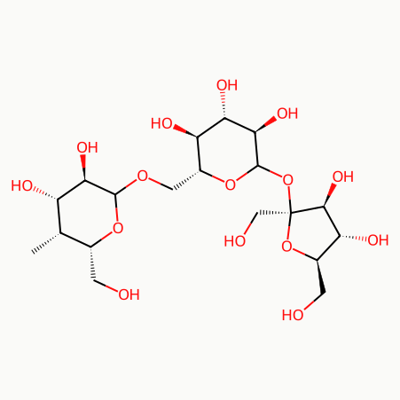 C[C@@H]1[C@H](O)[C@@H](O)C(OC[C@H]2OC(O[C@]3(CO)O[C@H](CO)[C@@H](O)[C@@H]3O)[C@H](O)[C@@H](O)[C@@H]2O)O[C@@H]1CO